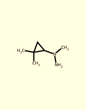 CN(N)C1CC1(C)C